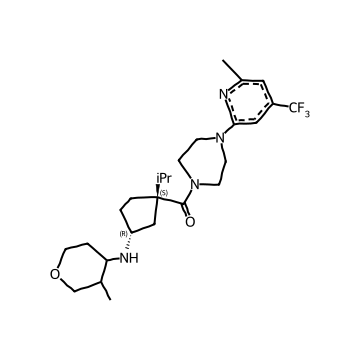 Cc1cc(C(F)(F)F)cc(N2CCN(C(=O)[C@@]3(C(C)C)CC[C@@H](NC4CCOCC4C)C3)CC2)n1